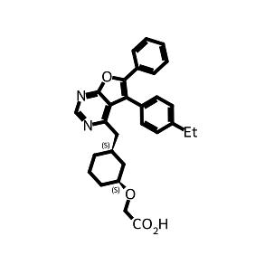 CCc1ccc(-c2c(-c3ccccc3)oc3ncnc(C[C@@H]4CCC[C@H](OCC(=O)O)C4)c23)cc1